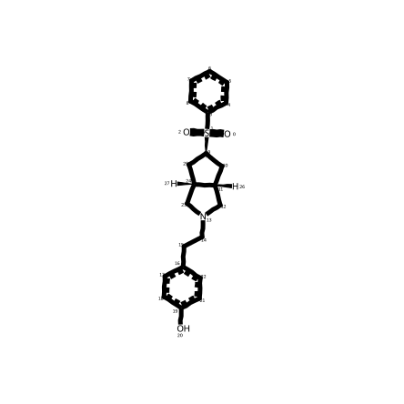 O=S(=O)(c1ccccc1)[C@H]1C[C@@H]2CN(CCc3ccc(O)cc3)C[C@@H]2C1